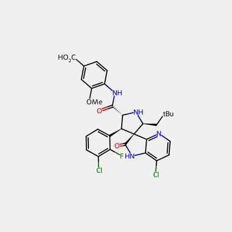 COc1cc(C(=O)O)ccc1NC(=O)[C@@H]1N[C@@H](CC(C)(C)C)[C@@]2(C(=O)Nc3c(Cl)ccnc32)[C@H]1c1cccc(Cl)c1F